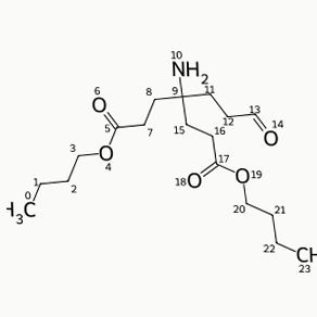 CCCCOC(=O)CCC(N)(CCC=O)CCC(=O)OCCCC